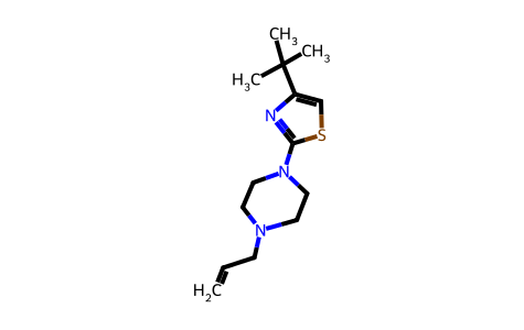 C=CCN1CCN(c2nc(C(C)(C)C)cs2)CC1